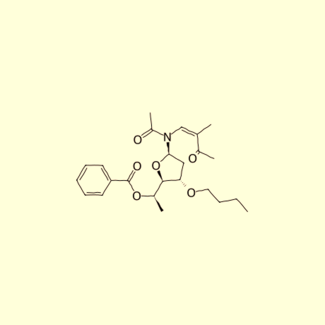 CCCCO[C@H]1C[C@H](N(/C=C(/C)C(C)=O)C(C)=O)O[C@@H]1[C@@H](C)OC(=O)c1ccccc1